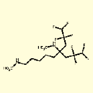 O=C(O)NCCCCCC(CC(F)(F)C(F)F)(CC(F)(F)C(F)F)NC(=O)O